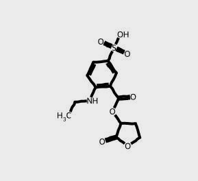 CCNc1ccc(S(=O)(=O)O)cc1C(=O)OC1CCOC1=O